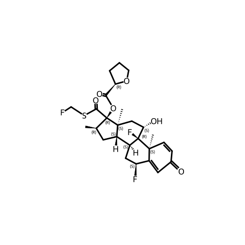 C[C@@H]1C[C@H]2[C@@H]3C[C@H](F)C4=CC(=O)C=C[C@]4(C)[C@@]3(F)[C@@H](O)C[C@]2(C)[C@@]1(OC(=O)[C@H]1CCCO1)C(=O)SCF